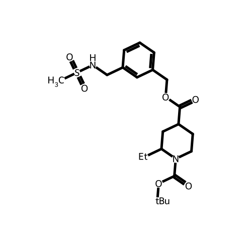 CCC1CC(C(=O)OCc2cccc(CNS(C)(=O)=O)c2)CCN1C(=O)OC(C)(C)C